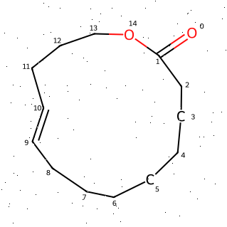 O=C1CCCCCCC/C=C/CCCO1